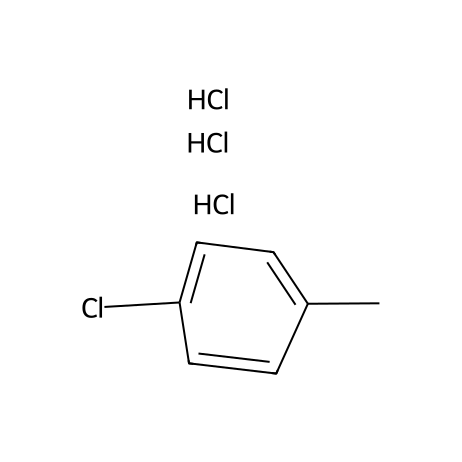 Cc1ccc(Cl)cc1.Cl.Cl.Cl